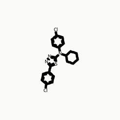 Clc1ccc(-c2nnc(N(c3ccc(Cl)cc3)C3CCCCC3)s2)cc1